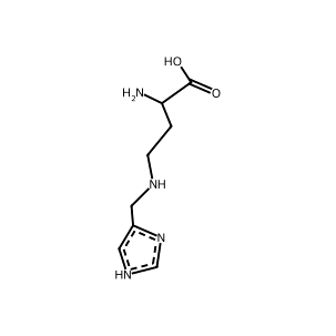 NC(CCNCc1c[nH]cn1)C(=O)O